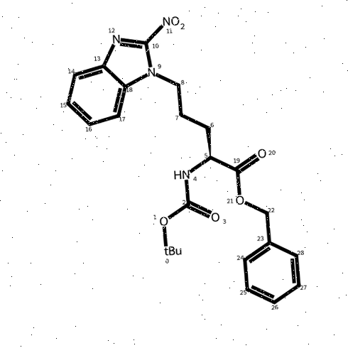 CC(C)(C)OC(=O)N[C@@H](CCCn1c([N+](=O)[O-])nc2ccccc21)C(=O)OCc1ccccc1